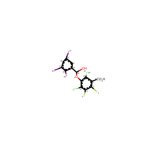 O=C(O)c1c(F)c(F)c(F)c(OC(O)c2cc(I)cc(I)c2I)c1F